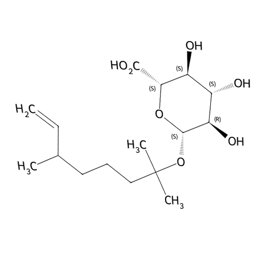 C=CC(C)CCCC(C)(C)O[C@@H]1O[C@H](C(=O)O)[C@@H](O)[C@H](O)[C@H]1O